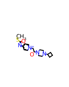 CSc1nc2cc[n+](CC(=O)N3CCN(C4CCC4)CC3)cc2o1